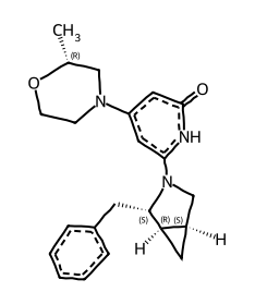 C[C@@H]1CN(c2cc(N3C[C@H]4C[C@H]4[C@@H]3Cc3ccccc3)[nH]c(=O)c2)CCO1